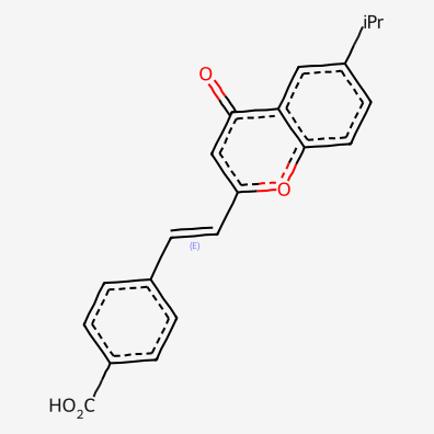 CC(C)c1ccc2oc(/C=C/c3ccc(C(=O)O)cc3)cc(=O)c2c1